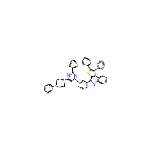 c1ccc(-c2ccc(-c3cc(-c4cccc(-c5nc6ccccc6c6c(-c7ccccc7)c(-c7ccccc7)sc56)c4)nc(-c4ccccc4)n3)cc2)cc1